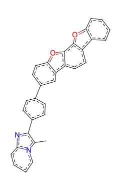 Cc1c(-c2ccc(-c3ccc4oc5c(ccc6c7ccccc7oc65)c4c3)cc2)nc2ccccn12